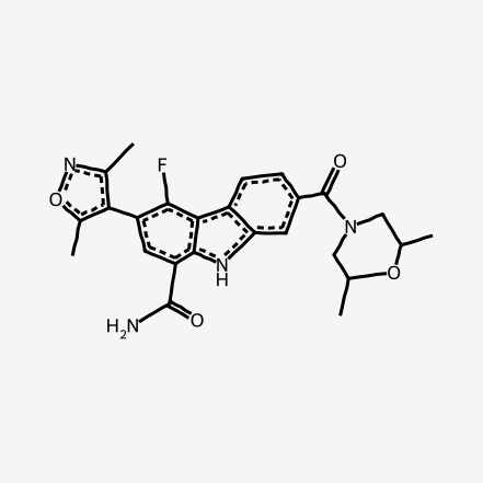 Cc1noc(C)c1-c1cc(C(N)=O)c2[nH]c3cc(C(=O)N4CC(C)OC(C)C4)ccc3c2c1F